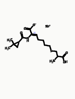 CC1(C)CC1C(=O)N/C(=C\CCCCSCC(N)C(=O)O)C(=O)[O-].[Na+]